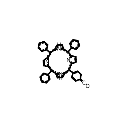 O=C=C1C=CC(c2c3nc(c(-c4ccccc4)c4ccc([nH]4)c(-c4ccccc4)c4nc(c(-c5ccccc5)c5ccc2[nH]5)C=C4)C=C3)=CC1